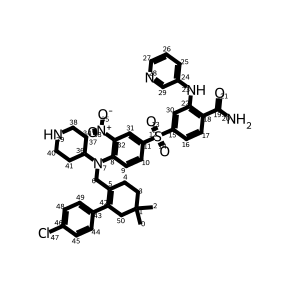 CC1(C)CCC(CN(c2ccc(S(=O)(=O)c3ccc(C(N)=O)c(Nc4cccnc4)c3)cc2[N+](=O)[O-])C2CCNCC2)=C(c2ccc(Cl)cc2)C1